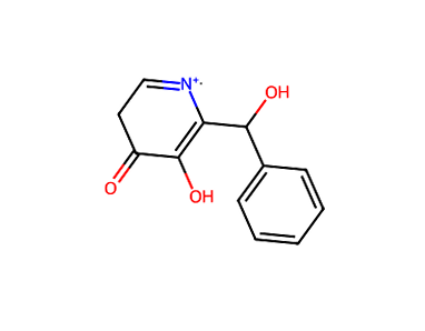 O=C1CC=[N+]C(C(O)c2ccccc2)=C1O